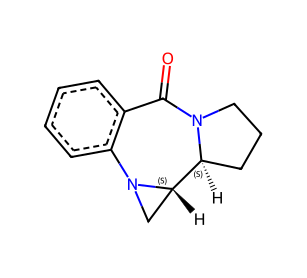 O=C1c2ccccc2N2C[C@H]2[C@@H]2CCCN12